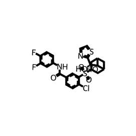 O=C(Nc1ccc(F)c(F)c1)c1ccc(Cl)c(S(=O)(=O)C2CC3CC(C2)C3(O)[C@@H](O)c2nccs2)c1